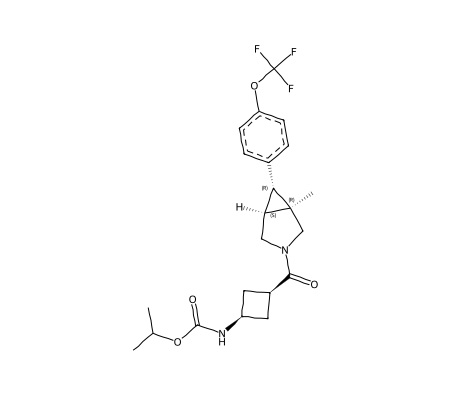 CC(C)OC(=O)N[C@H]1C[C@@H](C(=O)N2C[C@H]3[C@H](c4ccc(OC(F)(F)F)cc4)[C@@]3(C)C2)C1